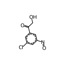 O=Nc1cc(Cl)cc(C(=O)CO)c1